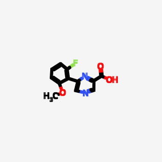 COc1cccc(F)c1-c1cncc(C(=O)O)n1